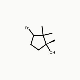 CC(C)C1CC[C@@](C)(O)C1(C)C